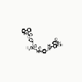 CN(CCCC(=O)Nc1ccc(CNCCc2ccc(O)c3[nH]c(=O)ccc23)cc1)C(=O)CCN1CCC(OC(=O)Nc2ccccc2-c2ccccc2)CC1